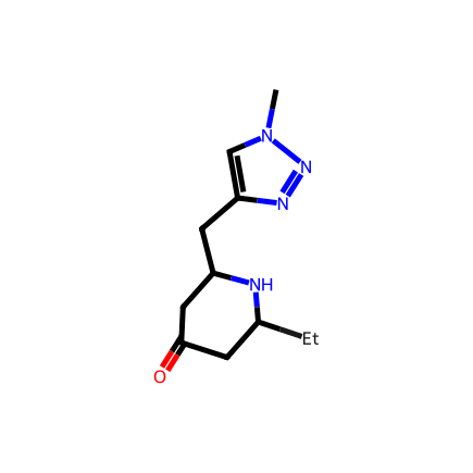 CCC1CC(=O)CC(Cc2cn(C)nn2)N1